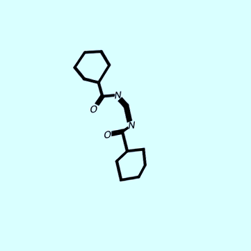 O=C(N=C=NC(=O)C1CCCCC1)C1CCCCC1